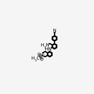 CS(=O)(=O)N1CCc2c(cccc2Nc2cccc(-c3ccc(C#N)cc3)c2CN)C1